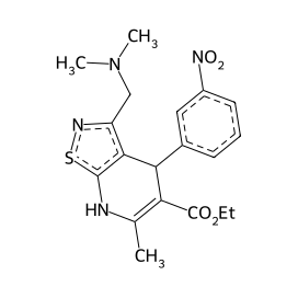 CCOC(=O)C1=C(C)Nc2snc(CN(C)C)c2C1c1cccc([N+](=O)[O-])c1